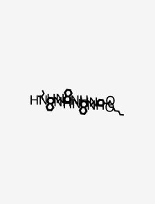 CCCCCOC(=O)c1ccc(NNc2ccc(NNc3ccc(NNc4ccc(NC(C)CC)c5ccccc45)c4ccccc34)c3ccccc23)cc1